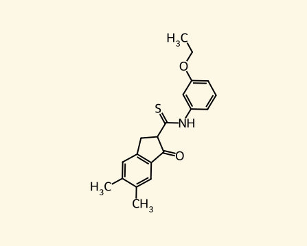 CCOc1cccc(NC(=S)C2Cc3cc(C)c(C)cc3C2=O)c1